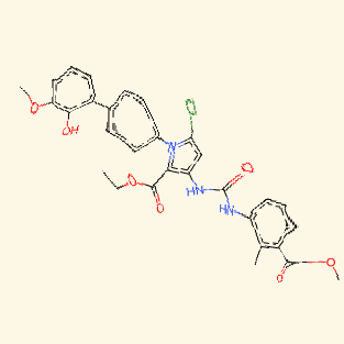 CCOC(=O)c1c(NC(=O)Nc2cccc(C(=O)OC)c2C)cc(Cl)n1-c1ccc(-c2cccc(OC)c2O)cc1